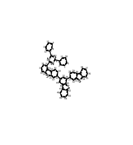 c1ccc(-c2nc(-c3ccccc3)nc(-c3cccc4sc5cc(-c6cc(-c7ccc8c(c7)sc7ccccc78)c7sc8ccccc8c7c6)ccc5c34)n2)cc1